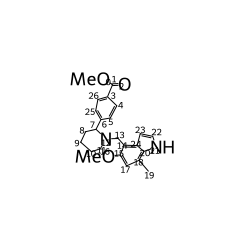 COC(=O)c1ccc(C2CCCCN2Cc2c(OC)cc(C)c3[nH]ccc23)cc1